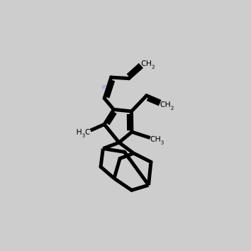 C=C/C=C\C1=C(C)C2(C(C)=C1C=C)C1CC3CC(C1)CC2C3